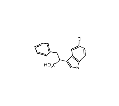 O=C(O)C(Cc1ccccc1)c1csc2ccc(Cl)cc12